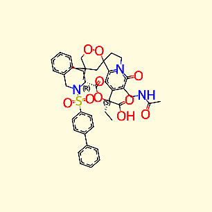 CC[C@@](OC(=O)[C@H]1Cc2ccccc2CN1S(=O)(=O)c1ccc(-c2ccccc2)cc1)(C(=O)O)c1cc2n(c(=O)c1CNC(C)=O)CCC21CC(C)(C)COO1